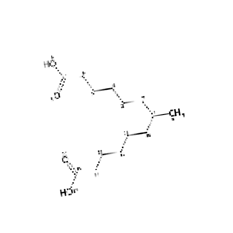 CC(CCCCCC(=O)O)CCCCCC(=O)O